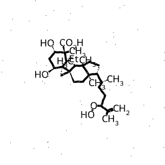 C=C(C)C(CC[C@@H](C)[C@H]1CC[C@@]2(C)[C@H](C)[C@]3(CC[C@]12C)C[C@]31[C@H](CC)[C@](C)(C(=O)O)[C@@H](O)C[C@@H]1O)OO